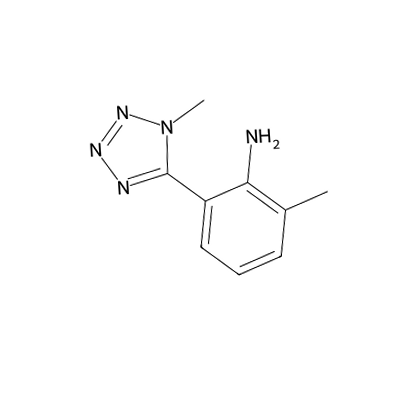 Cc1cccc(-c2nnnn2C)c1N